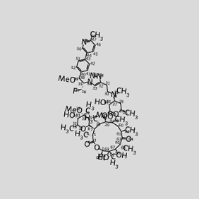 CC[C@H]1OC(=O)[C@H](C)[C@@H](C2C[C@@](C)(OC)[C@@H](O)[C@H](C)O2)[C@H](C)[C@@H](O[C@@H]2O[C@H](C)C[C@H](N(C)CCc3cn([C@H](CF)[C@H](OC)c4ccc(-c5ccc(C)nc5)cc4)nn3)[C@H]2O)[C@](C)(OC)C[C@@H](C)C(=O)[C@H](C)[C@@H](O)[C@]1(C)O